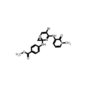 COC(=O)c1ccc(NC23CN2C=C(Br)C(Nc2cccn(C)c2=O)=N3)cc1